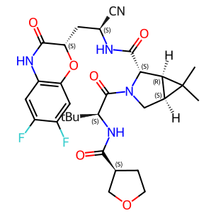 CC(C)(C)[C@H](NC(=O)[C@H]1CCOC1)C(=O)N1C[C@H]2[C@@H]([C@H]1C(=O)N[C@H](C#N)C[C@@H]1Oc3cc(F)c(F)cc3NC1=O)C2(C)C